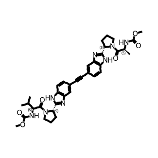 COC(=O)N[C@@H](C)C(=O)N1CCC[C@H]1c1nc2cc(C#Cc3ccc4[nH]c([C@@H]5CCCN5C(=O)[C@@H](NC(=O)OC)C(C)C)nc4c3)ccc2[nH]1